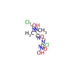 Cc1nn(CC(O)CCCl)c(C)c1-c1ccnc(O[C@@H]2CCN(c3cnn(CCO)c(=O)c3Cl)C2)c1